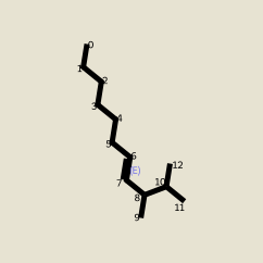 CCCCCC/C=C/C(C)C(C)C